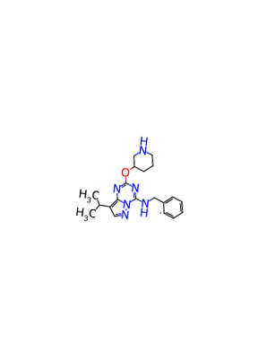 CC(C)c1cnn2c(NCc3[c]cccc3)nc(OC3CCCNC3)nc12